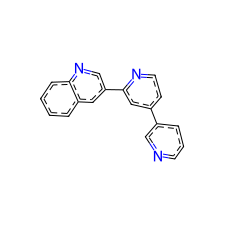 c1cncc(-c2ccnc(-c3cnc4ccccc4c3)c2)c1